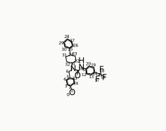 COc1ccc(CN(C(=O)Nc2ccc(C(F)(F)F)cc2)C2CCC(c3ccccc3)CC2)cc1